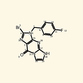 O=c1c2nc(Br)n(Cc3ccc(F)cc3)c2nc2[nH]ccn12